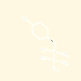 CC(C)(C)[Si](C)(C)O[C@H]1CC[C@H](O)CC1